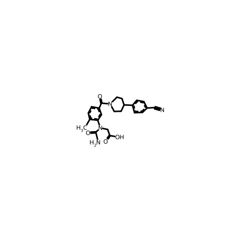 Cc1ccc(C(=O)N2CCC(c3ccc(C#N)cc3)CC2)cc1N(CC(=O)O)C(N)=O